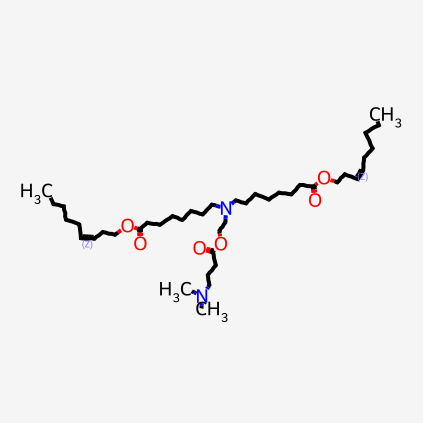 CCCCC/C=C\CCOC(=O)CCCCCCCN(CCCCCCCC(=O)OCC/C=C\CCCCC)CCOC(=O)CCCN(C)C